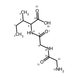 CCC(C)C(NC(=O)CNC(=O)CN)C(=O)O